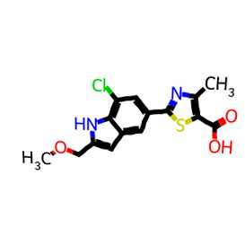 COCc1cc2cc(-c3nc(C)c(C(=O)O)s3)cc(Cl)c2[nH]1